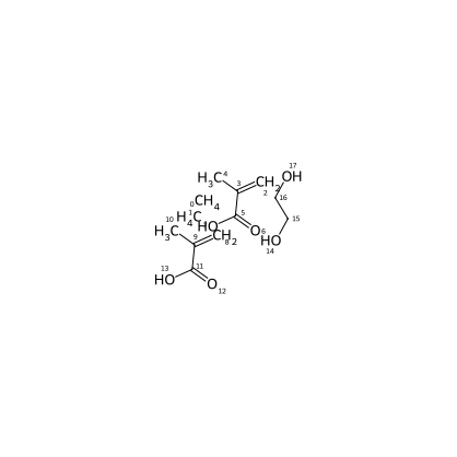 C.C.C=C(C)C(=O)O.C=C(C)C(=O)O.OCCO